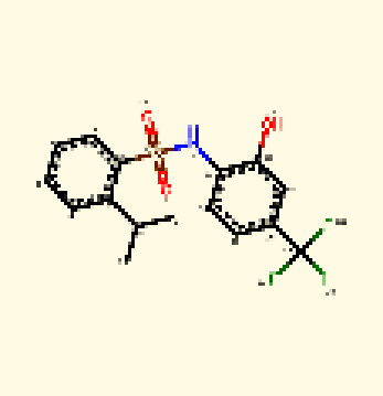 CC(C)c1ccccc1S(=O)(=O)Nc1ccc(C(F)(F)F)cc1O